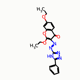 CCOc1ccc2c(=O)c(/N=N/c3nnc(-c4ccccc4)[nH]3)c(OCC)oc2c1